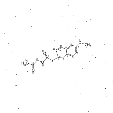 COc1ccc2cc(CC(=O)OCC(C)=O)ccc2c1